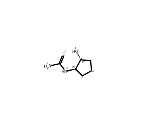 BC(=O)N[C@@H]1CCC[C@H]1O